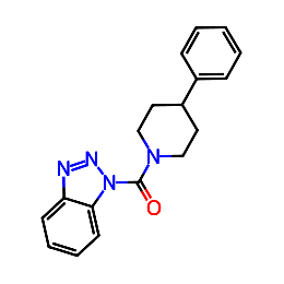 O=C(N1CCC(c2ccccc2)CC1)n1nnc2ccccc21